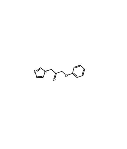 O=C(COc1ccccc1)Cn1ccnc1